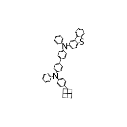 c1ccc(N(c2ccc(-c3ccc(N(c4ccccc4)c4ccc5sc6ccccc6c5c4)cc3)cc2)c2ccc(C34CC5CC6CC(C3)C654)cc2)cc1